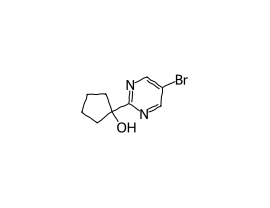 OC1(c2ncc(Br)cn2)CCCC1